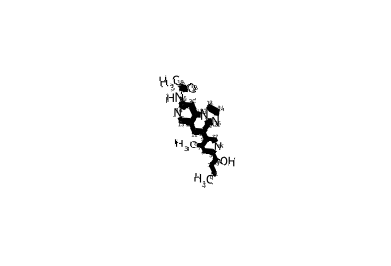 CCC[C@@H](O)c1cc(C)c(-c2cc3cnc(NC(C)=O)cc3n3ccnc23)cn1